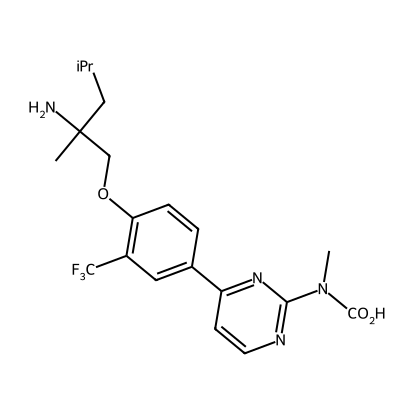 CC(C)CC(C)(N)COc1ccc(-c2ccnc(N(C)C(=O)O)n2)cc1C(F)(F)F